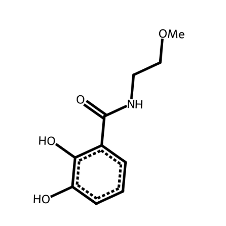 COCCNC(=O)c1cccc(O)c1O